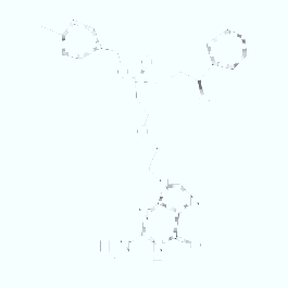 Cc1ccc(COP(=O)(CCOCCn2cnc3c(=O)[nH]c(N)nc32)OCC(=O)c2ccccc2)cc1